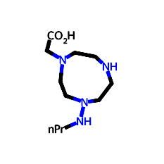 CCCNN1CCNCCN(CC(=O)O)CC1